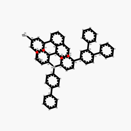 CC(C)(C)c1cc(-c2cccc3cccc(-c4ccccc4N(c4ccc(-c5ccccc5)cc4)c4ccc(-c5ccc(-c6ccccc6)c(-c6ccccc6)c5)cc4)c23)cc(C(C)(C)C)c1